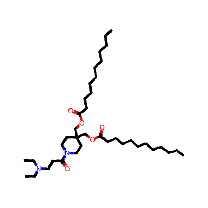 CCCCCCCCCCCC(=O)OCC1(COC(=O)CCCCCCCCCCC)CCN(C(=O)CCN(CC)CC)CC1